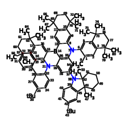 Cc1cc2c(cc1N1c3cc4c(cc3B3c5cc6c(cc5N(c5ccc(C(C)(C)C)cc5-c5ccccc5)c5cc(N7c8ccc(C(C)(C)C)cc8C8(C)CCCCC78C)cc1c53)C(C)(C)CCC6(C)C)C(C)(C)CCC4(C)C)C(C)(C)CCC2(C)C